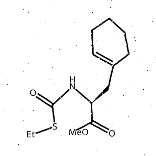 CCSC(=O)N[C@@H](CC1=CCCCC1)C(=O)OC